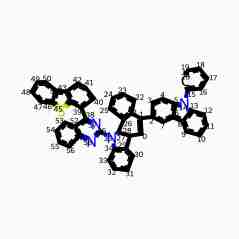 C1=C(c2ccc3c(c2)c2ccccc2n3-c2ccccc2)c2ccccc2C2C1c1ccccc1N2c1nc(-c2cccc3c2sc2ccccc23)c2ccccc2n1